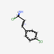 N=C(Cl)/C=C/c1ccc(Cl)cc1